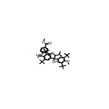 COC(=O)c1ccc(O)c(C=NC(C(C)C)C(O)(c2cc(C(C)(C)C)c(OC)c(C(C)(C)C)c2)c2cc(C(C)(C)C)c(OC)c(C(C)(C)C)c2)c1